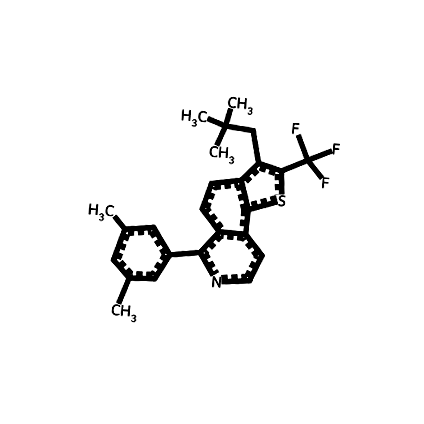 Cc1cc(C)cc(-c2nccc3c2ccc2c(CC(C)(C)C)c(C(F)(F)F)sc23)c1